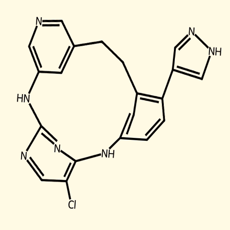 Clc1cnc2nc1Nc1ccc(-c3cn[nH]c3)c(c1)CCc1cncc(c1)N2